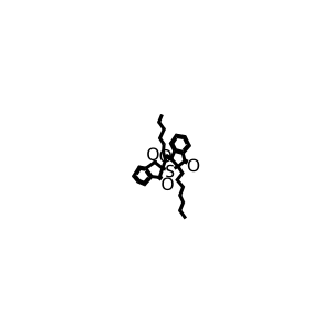 CCCCCCCC1(SC2(CCCCCCC)C(=O)c3ccccc3C2=O)C(=O)c2ccccc2C1=O